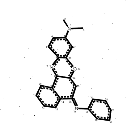 CN(C)c1ccc2nc3c4ccccc4/c(=N/c4ccccc4)cc-3oc2c1